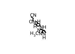 Cc1nc(N[C@@H]2C[C@@H]3CN(C(=O)CCC#N)C[C@@H]3C2)c2cc[nH]c2n1